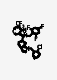 Fc1cc(F)c(Cn2nc3c(C(F)(F)F)cccc3c2-c2ccc3ccn(Cc4ccccc4Cl)c3c2)c(F)c1